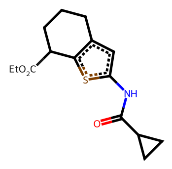 CCOC(=O)C1CCCc2cc(NC(=O)C3CC3)sc21